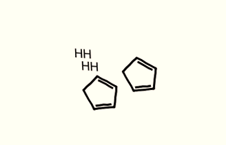 C1=CCC=C1.C1=CCC=C1.[HH].[HH]